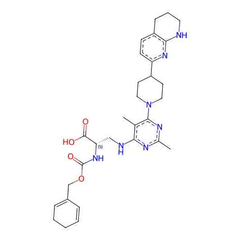 Cc1nc(NC[C@H](NC(=O)OCC2=CCCC=C2)C(=O)O)c(C)c(N2CCC(c3ccc4c(n3)NCCC4)CC2)n1